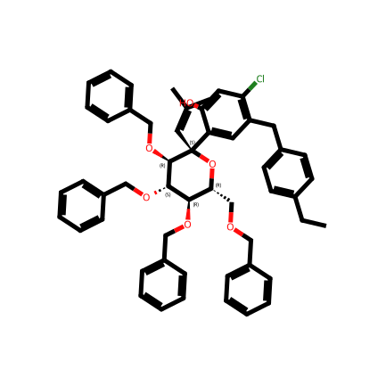 CCc1ccc(Cc2cc([C@]3(C=C(C)C)O[C@H](COCc4ccccc4)[C@@H](OCc4ccccc4)[C@H](OCc4ccccc4)[C@H]3OCc3ccccc3)c(O)cc2Cl)cc1